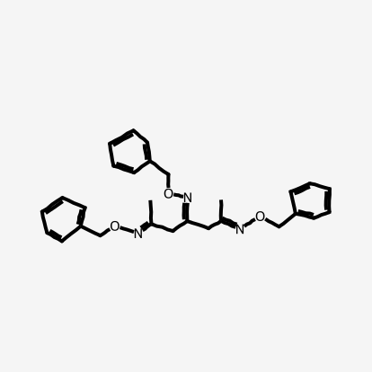 C/C(CC(C/C(C)=N/OCc1ccccc1)=NOCc1ccccc1)=N\OCc1ccccc1